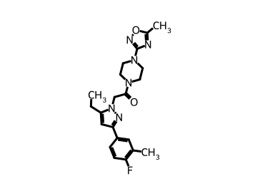 CCc1cc(-c2ccc(F)c(C)c2)nn1CC(=O)N1CCN(c2noc(C)n2)CC1